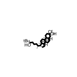 C[C@H](CCC[C@H](O)C(C)(C)C)[C@H]1CC[C@H]2[C@@H]3CC[C@H]4C[C@](O)(C(F)(F)F)CC[C@]4(C)[C@H]3CC[C@]12C